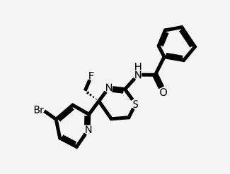 O=C(NC1=N[C@](CF)(c2cc(Br)ccn2)CCS1)c1ccccc1